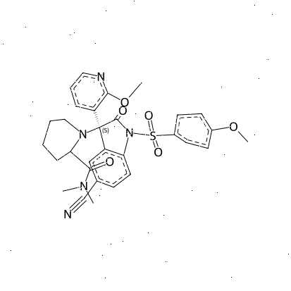 COc1ccc(S(=O)(=O)N2C(=O)[C@](c3cccnc3OC)(N3CCCCC3C(=O)N(C)C)c3cc(C#N)ccc32)cc1